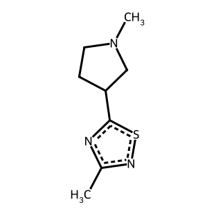 Cc1nsc(C2CCN(C)C2)n1